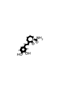 NC(=O)N1CCCCC(CCc2ccc(O)c(O)c2)C1=O